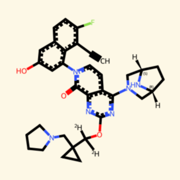 [2H]C([2H])(Oc1nc(N2C[C@H]3CC[C@@H](C2)N3)c2ccn(-c3cc(O)cc4ccc(F)c(C#C)c34)c(=O)c2n1)C1(CN2CCCC2)CC1